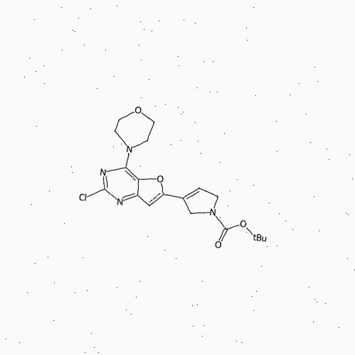 CC(C)(C)OC(=O)N1CC=C(c2cc3nc(Cl)nc(N4CCOCC4)c3o2)C1